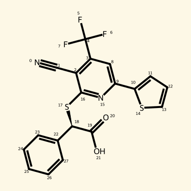 N#Cc1c(C(F)(F)F)cc(-c2cccs2)nc1S[C@@H](C(=O)O)c1ccccc1